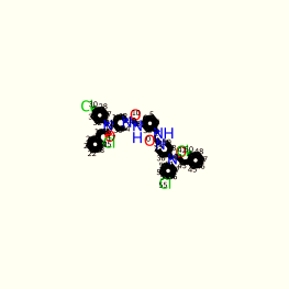 O=C(Nc1cccc(NC(=O)N2CCC(N(C(=O)Cc3ccccc3Cl)c3ccc(Cl)cc3)CC2)c1)N1CCC(N(C(=O)Cc2ccccc2Cl)c2ccc(Cl)cc2)CC1